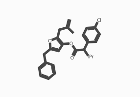 C=C(C)Cc1oc(Cc2ccccc2)cc1OC(=O)C(c1ccc(Cl)cc1)C(C)C